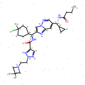 O=C(CCC(F)(F)F)N[C@@H](c1cnn2cc([C@@H](NC(=O)c3cnn(CCN4CC(F)(F)C4)n3)C3CCC(F)(F)CC3)nc2c1)C1CC1